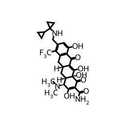 CN(C)[C@@H]1C(O)=C(C(N)=O)C(=O)[C@@]2(O)C(O)=C3C(=O)c4c(O)cc(CNC5(C6CC6)CC5)c(C(F)(F)F)c4C[C@H]3C[C@@H]12